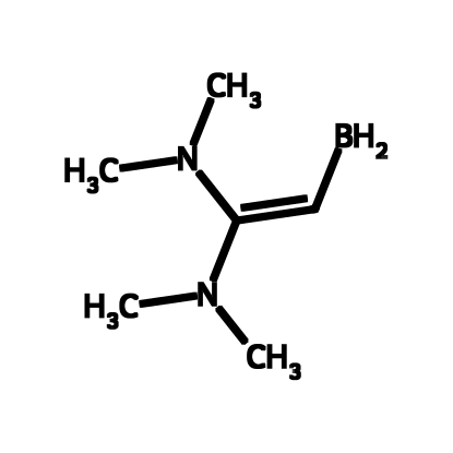 BC=C(N(C)C)N(C)C